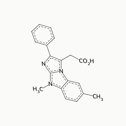 Cc1ccc2c(c1)n1c(CC(=O)O)c(-c3ccccc3)nc1n2C